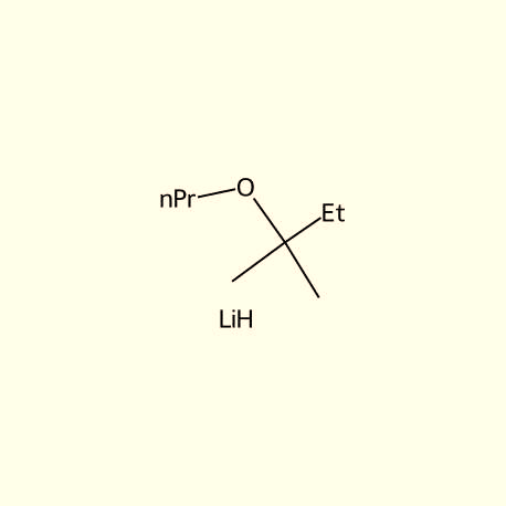 [CH2]CCOC(C)(C)CC.[LiH]